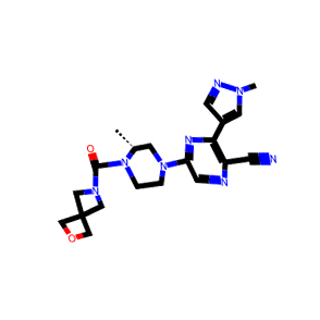 C[C@@H]1CN(c2cnc(C#N)c(-c3cnn(C)c3)n2)CCN1C(=O)N1CC2(COC2)C1